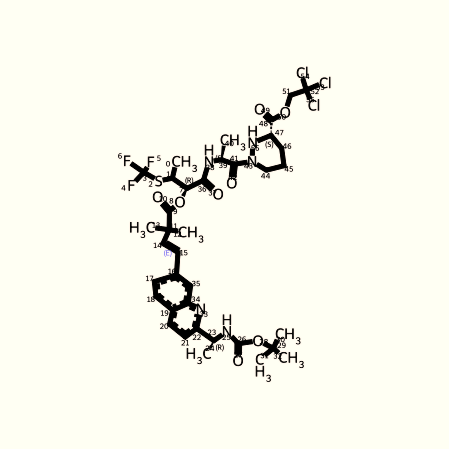 CC(SC(F)(F)F)[C@H](OC(=O)C(C)(C)/C=C/c1ccc2ccc([C@@H](C)NC(=O)OC(C)(C)C)nc2c1)C(=O)N[C@@H](C)C(=O)N1CCC[C@@H](C(=O)OCC(Cl)(Cl)Cl)N1